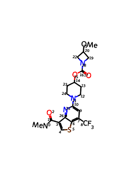 CNC(=O)c1csc2c(C(F)(F)F)cc(N3CCC(OC(=O)N4CC(OC)C4)CC3)nc12